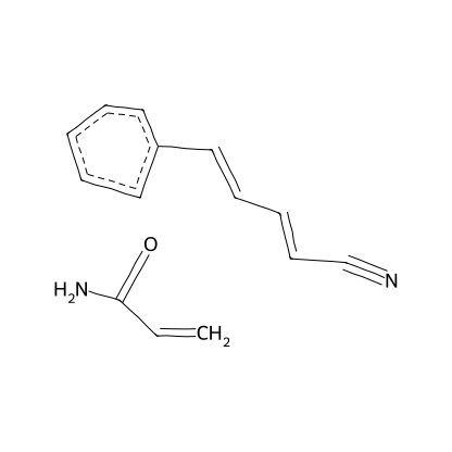 C=CC(N)=O.N#CC=CC=Cc1ccccc1